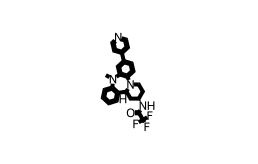 CN1c2ccccc2[C@H]2C[C@@H](NC(=O)C(F)(F)F)CCN2c2ccc(-c3ccncc3)cc21